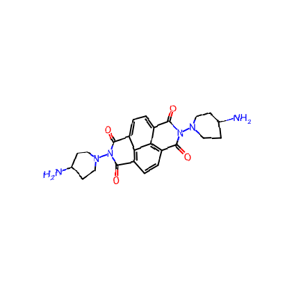 NC1CCN(N2C(=O)c3ccc4c5c(ccc(c35)C2=O)C(=O)N(N2CCC(N)CC2)C4=O)CC1